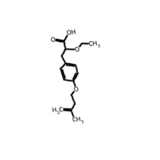 C=C(C)CCOc1ccc(CC(OCC)C(=O)O)cc1